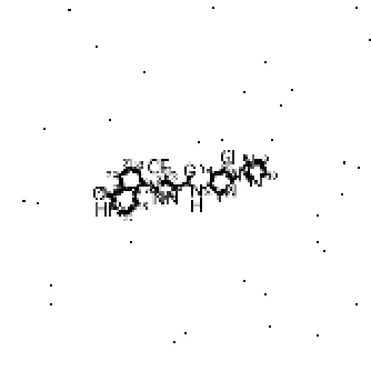 O=C(Nc1cnc(-n2nccn2)c(Cl)c1)c1nnn(-c2cccc3c(=O)[nH]ccc23)c1C(F)(F)F